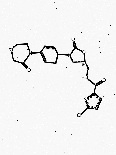 O=C(NC[C@H]1CN(C2C=CC(N3CCOCC3=O)=CC2)C(=O)O1)c1ccc(Cl)s1